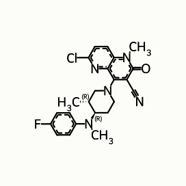 C[C@@H]1CN(c2c(C#N)c(=O)n(C)c3ccc(Cl)nc23)CC[C@H]1N(C)c1ccc(F)cc1